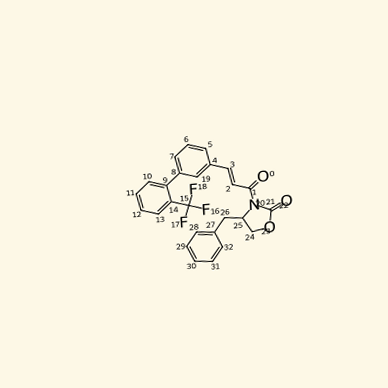 O=C(C=Cc1cccc(-c2ccccc2C(F)(F)F)c1)N1C(=O)OCC1Cc1ccccc1